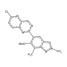 COc1c(-c2ncc3nc(Cl)ccc3n2)cc2cn(C)nc2c1C